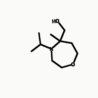 CC(C)N1CCOCCC1(C)CO